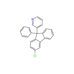 Clc1ccc2c(c1)-c1ccccc1C2(c1ccccc1)c1cccnc1